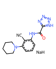 N#Cc1c(NC(=O)c2nnn[nH]2)cccc1N1CCCCC1.[NaH]